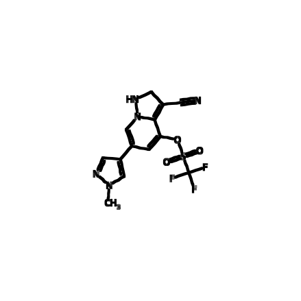 Cn1cc(C2=CN3NCC(C#N)=C3C(OS(=O)(=O)C(F)(F)F)=C2)cn1